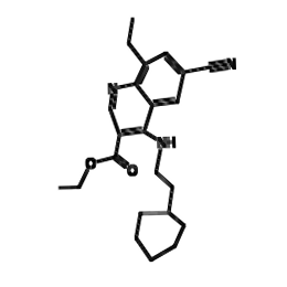 CCOC(=O)c1cnc2c(CC)cc(C#N)cc2c1NCCC1CCCCC1